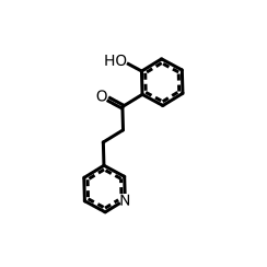 O=C(CCc1cccnc1)c1ccccc1O